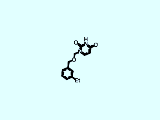 CCc1cccc(COCn2ccc(=O)[nH]c2=O)c1